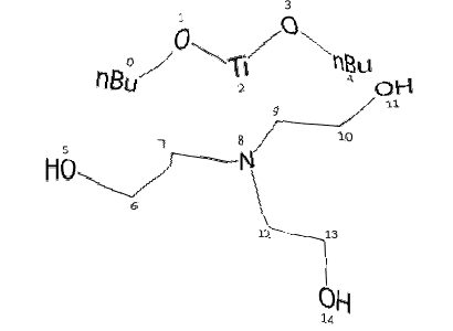 CCCC[O][Ti][O]CCCC.OCCN(CCO)CCO